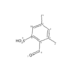 Cc1cc(C)c(I=O)c(S(=O)(=O)O)c1